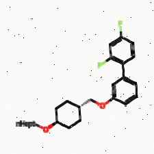 CCCCCCCO[C@H]1CC[C@H](COc2[c]ccc(-c3ccc(F)cc3F)c2)CC1